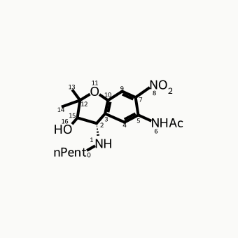 CCCCCN[C@H]1c2cc(NC(C)=O)c([N+](=O)[O-])cc2OC(C)(C)C1O